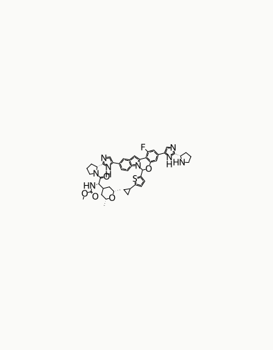 COC(=O)N[C@H](C(=O)N1CCC[C@@H]1c1ncc(-c2ccc3c(c2)cc2n3C(c3ccc(C4CC4)s3)Oc3cc(-c4cnc([C@@H]5CCCN5)[nH]4)cc(F)c3-2)[nH]1)C1C[C@@H](C)O[C@@H](C)C1